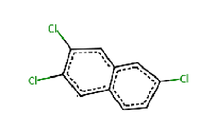 Clc1ccc2[c]c(Cl)c(Cl)cc2c1